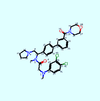 CN(CC(=O)N(C)C(CN1CCCC1)c1ccc(-c2cccc(C(=O)N3CCOCC3)c2)cc1)c1ccc(Cl)c(Cl)c1